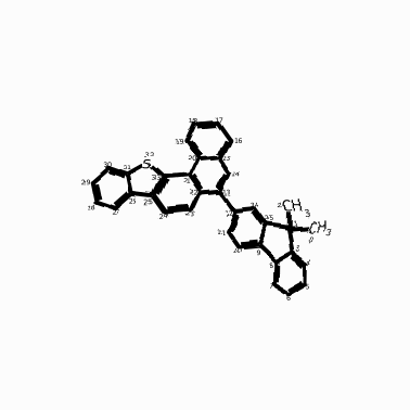 CC1(C)c2ccccc2-c2ccc(-c3cc4ccccc4c4c3ccc3c5ccccc5sc34)cc21